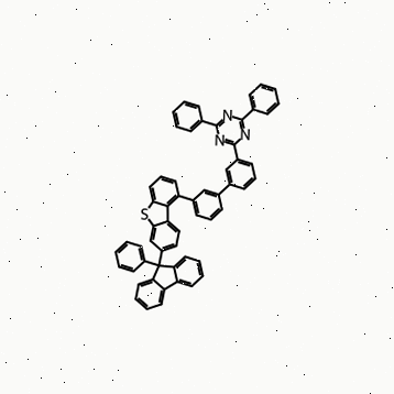 c1ccc(-c2nc(-c3ccccc3)nc(-c3cccc(-c4cccc(-c5cccc6sc7cc(C8(c9ccccc9)c9ccccc9-c9ccccc98)ccc7c56)c4)c3)n2)cc1